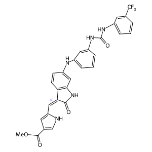 COC(=O)c1c[nH]c(/C=C2\C(=O)Nc3cc(Nc4cccc(NC(=O)Nc5cccc(C(F)(F)F)c5)c4)ccc32)c1